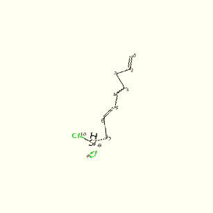 C=CCCCC=CC[SiH](Cl)Cl